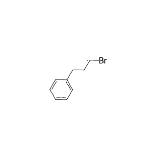 Br[CH]CCc1ccccc1